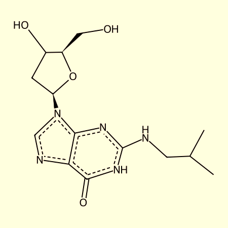 CC(C)CNc1nc2c(ncn2[C@H]2CC(O)[C@@H](CO)O2)c(=O)[nH]1